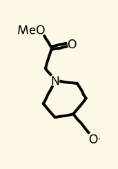 COC(=O)CN1CCC([O])CC1